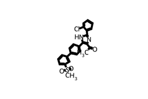 CC(=O)c1nc(-c2ccccc2Cl)[nH]c1-c1ccc(-c2cccc(S(C)(=O)=O)c2)cc1